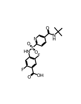 CC(C)(C)NC(=O)c1ccc(S(=O)(=O)Nc2cc(F)c(C(=O)O)cc2F)nc1